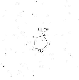 C1CCOC1.O